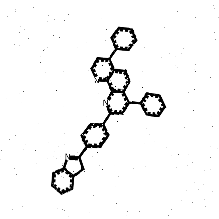 c1ccc(-c2ccnc3c2ccc2c(-c4ccccc4)cc(-c4ccc(C5=Nc6ccccc6C5)cc4)nc23)cc1